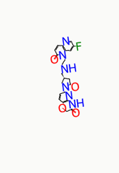 O=C1COc2ccc(N3C[C@@H](CNCCn4c(=O)ccc5ncc(F)cc54)CC3=O)nc2N1